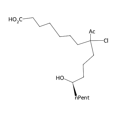 CCCCC[C@@H](O)CCCC(Cl)(CCCCCCC(=O)O)C(C)=O